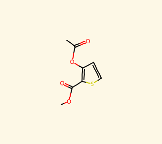 COC(=O)c1sccc1OC(C)=O